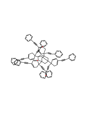 C(#Cc1ccccc1)C1=CCC(C#Cc2ccccc2)(C23CC4(C5(C#Cc6ccccc6)C=CC(C#Cc6ccccc6)=CC5)CC(C5(C#Cc6ccccc6)C=CC(C#Cc6ccccc6)=CC5)(C2)CC(C2(C#Cc5ccccc5)C=CC(C#Cc5ccccc5)=CC2)(C3)C4)C=C1